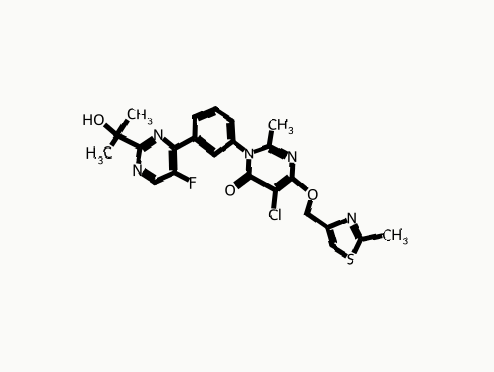 Cc1nc(COc2nc(C)n(-c3cccc(-c4nc(C(C)(C)O)ncc4F)c3)c(=O)c2Cl)cs1